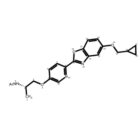 CC(=O)N[C@@H](C)COc1ccc(-c2nc3cc(OCC4CC4)ccc3o2)nc1